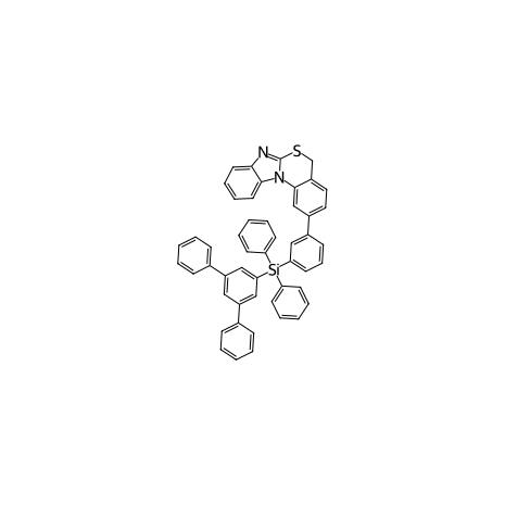 c1ccc(-c2cc(-c3ccccc3)cc([Si](c3ccccc3)(c3ccccc3)c3cccc(-c4ccc5c(c4)-n4c(nc6ccccc64)SC5)c3)c2)cc1